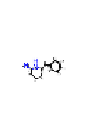 [N]C1CCCCC(Cc2ccccc2)N1